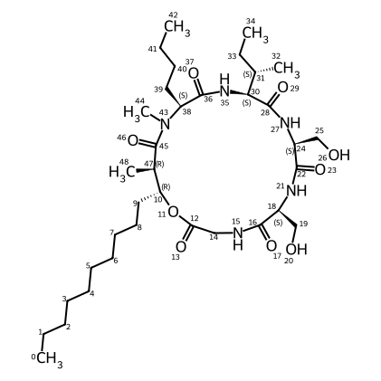 CCCCCCCCCC[C@H]1OC(=O)CNC(=O)[C@H](CO)NC(=O)[C@H](CO)NC(=O)[C@H]([C@@H](C)CC)NC(=O)[C@H](CCCC)N(C)C(=O)[C@@H]1C